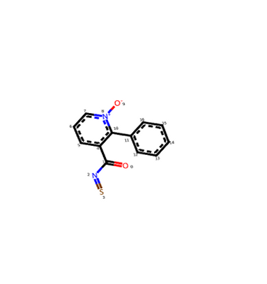 O=C(N=S)c1ccc[n+]([O-])c1-c1ccccc1